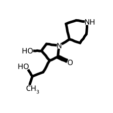 CC(O)CC1C(=O)N(C2CCNCC2)CC1O